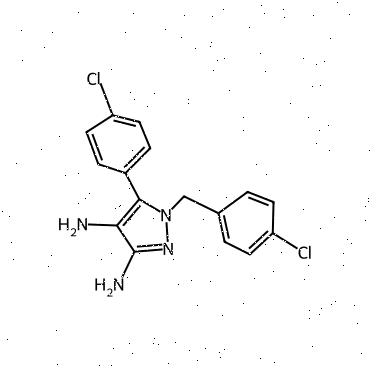 Nc1nn(Cc2ccc(Cl)cc2)c(-c2ccc(Cl)cc2)c1N